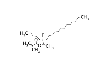 C=C(C)C(=O)OC(C)C(F)(CCCCC)CCCCCCCCCCCCC